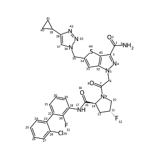 NC(=O)c1nn(CC(=O)N2C[C@H](F)C[C@H]2C(=O)Nc2cccc(-c3ccccc3Cl)c2F)c2cc(Cn3cc(C4CC4)nn3)sc12